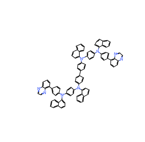 c1ccc2c(N(c3ccc(-c4ccc(N(c5ccc(N(c6ccc(-c7cccc8nccnc78)cc6)c6cccc7ccccc67)cc5)c5cccc6ccccc56)cc4)cc3)c3ccc(N(c4ccc(-c5cccc6nccnc56)cc4)c4cccc5ccccc45)cc3)cccc2c1